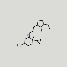 CCC1CCC(CC/C=C2/CC(O)CCC2(C)C2CC2)C1C